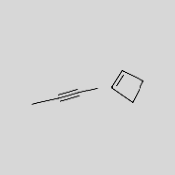 C1=CCC1.CC#CC